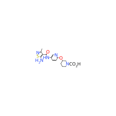 Cc1nsc(N)c1C(=O)Nc1ccc(OC2CCCN(C(=O)O)C2)nc1